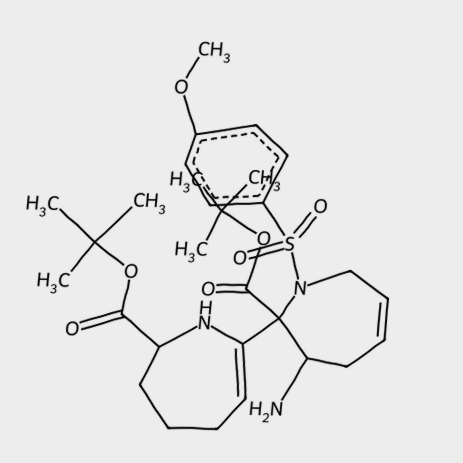 COc1ccc(S(=O)(=O)N2CC=CCC(N)C2(C(=O)OC(C)(C)C)C2=CCCCC(C(=O)OC(C)(C)C)N2)cc1